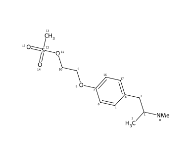 CNC(C)Cc1ccc(OCCOS(C)(=O)=O)cc1